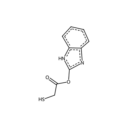 O=C(CS)Oc1nc2ccccc2[nH]1